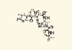 Cc1cc(NC(=O)c2c3c(cn2C)[S+]([O-])NC2CN(C(=O)C(=O)NC4(C)CC4)C[C@H]2CS3)ccc1F